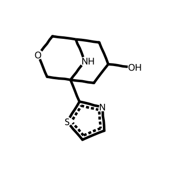 OC1CC2COCC(c3nccs3)(C1)N2